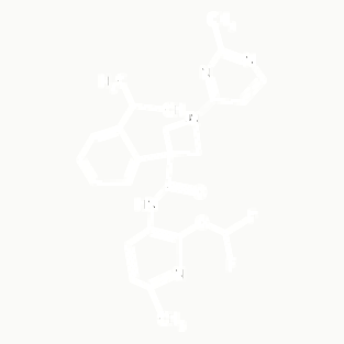 Cc1ccc(NC(=O)C2(c3ccccc3C(C)C)CN(c3ccnc(C)n3)C2)c(OC(F)F)n1